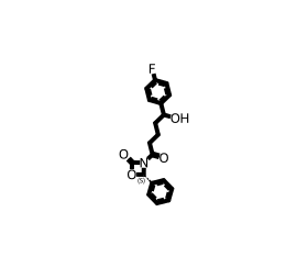 O=C(CCCC(O)c1ccc(F)cc1)N1C(=O)O[C@H]1c1ccccc1